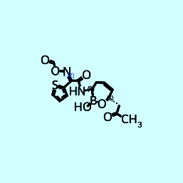 CC(=O)C[C@H]1C=CC[C@H](NC(=O)/C(=N/OC=O)c2cccs2)B(O)O1